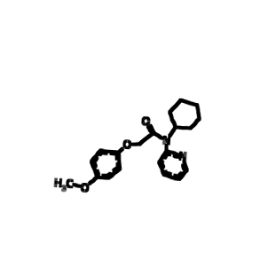 COc1ccc(OCC(=O)N(c2ccccn2)C2CCCCC2)cc1